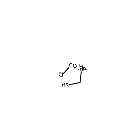 CCCCS.O=C(O)Cl